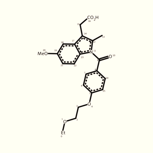 CCOCCOc1ccc(C(=O)n2c(C)c(CC(=O)O)c3cc(OC)ccc32)cc1